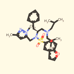 Cc1cc(CN([C@@H](Cc2ccccc2)CN(CC(C)C)CC(C)C)S(=O)(=O)c2ccc3occc3c2)n(C)n1